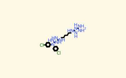 N=C(N)NC(=N)NCCCCCCNC(=N)NC(=N)N(c1ccc(Cl)cc1)c1ccc(Cl)cc1